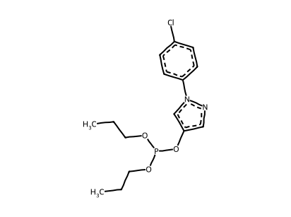 CCCOP(OCCC)Oc1cnn(-c2ccc(Cl)cc2)c1